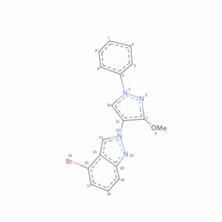 COc1nn(-c2ccccc2)cc1-n1cc2c(Br)cccc2n1